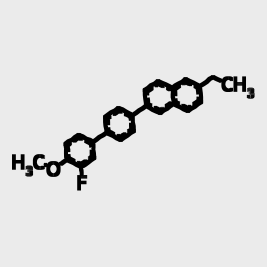 CCc1ccc2cc(-c3ccc(-c4ccc(OC)c(F)c4)cc3)ccc2c1